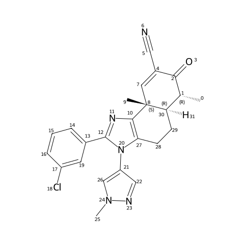 C[C@H]1C(=O)C(C#N)=C[C@@]2(C)c3nc(-c4cccc(Cl)c4)n(-c4cnn(C)c4)c3CC[C@H]12